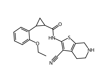 CCOc1ccccc1C1CC1C(=O)Nc1sc2c(c1C#N)CCNC2